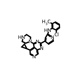 Cc1cccc(Cl)c1Nc1cc(-c2nc(N3CCNCC3)c3c(C4CC4)cncc3n2)ccn1